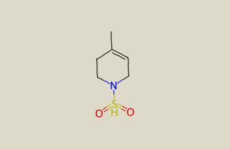 CC1=CCN([SH](=O)=O)CC1